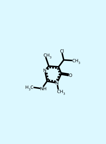 CNc1nc(C)c(C(C)Cl)c(=O)n1C